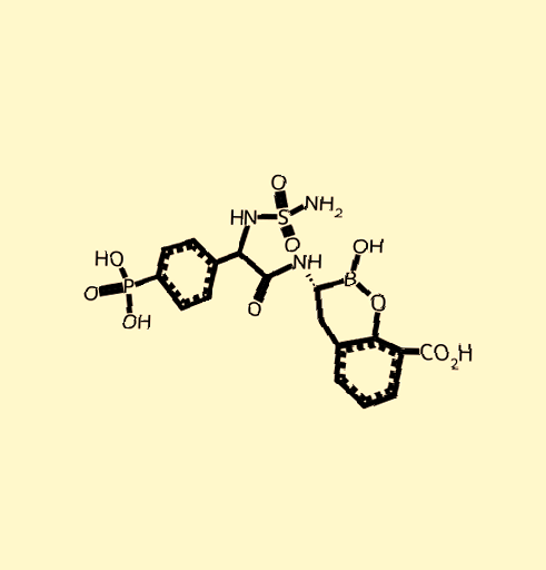 NS(=O)(=O)NC(C(=O)N[C@H]1Cc2cccc(C(=O)O)c2OB1O)c1ccc(P(=O)(O)O)cc1